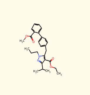 CCCn1nc(C(C)C)c(C(=O)OCC)c1Cc1ccc(-c2ccccc2C(=O)OC)cc1